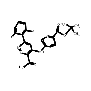 CC(C)(C)OC(=O)c1ccc(Nc2cc(-c3c(F)cccc3F)nnc2C(N)=O)cn1